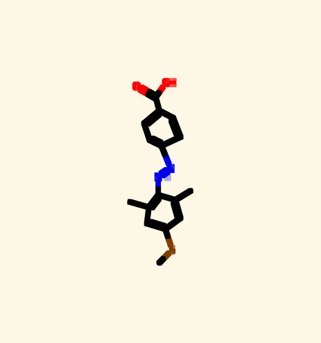 CSc1cc(C)c(/N=N/c2ccc(C(=O)O)cc2)c(C)c1